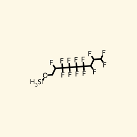 FC(F)C(F)C(F)C(F)(F)C(F)(F)C(F)(F)C(F)(F)C(F)CO[SiH3]